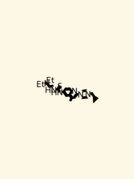 CCN(CC)CCNC(=S)Nc1ccc2nc(N3CCN(CC4CC4)CC3)cc(C)c2c1